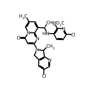 Cc1cc([C@@H](C)Nc2ccc(Cl)nc2C(=O)O)c2nc(N3Cc4cc(Cl)cnc4C3C)cc(=O)n2c1